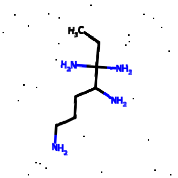 CCC(N)(N)C(N)CCCN